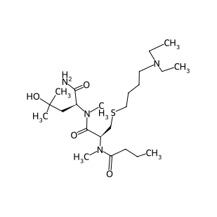 CCCC(=O)N(C)[C@H](CSCCCCN(CC)CC)C(=O)N(C)[C@@H](CC(C)(C)O)C(N)=O